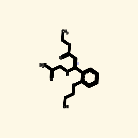 CCOC(=O)/C=C(\NCC(N)=O)c1ccccc1OCCO